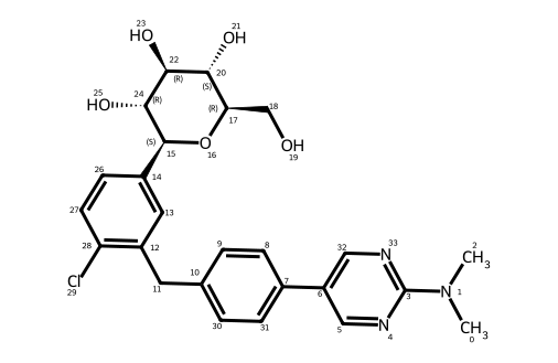 CN(C)c1ncc(-c2ccc(Cc3cc([C@@H]4O[C@H](CO)[C@@H](O)[C@H](O)[C@H]4O)ccc3Cl)cc2)cn1